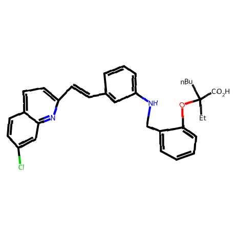 CCCCC(CC)(Oc1ccccc1CNc1cccc(C=Cc2ccc3ccc(Cl)cc3n2)c1)C(=O)O